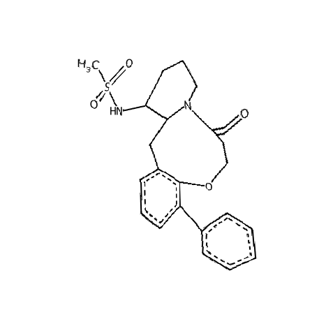 CS(=O)(=O)NC1CCCN2C(=O)COc3c(cccc3-c3ccccc3)CC12